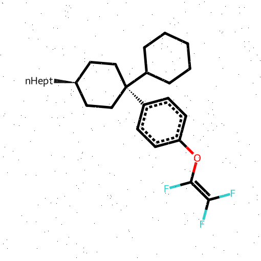 CCCCCCC[C@H]1CC[C@@](c2ccc(OC(F)=C(F)F)cc2)(C2CCCCC2)CC1